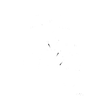 C=CC(=O)[C@@H](O[Si](CC)(CC)CC)[C@@H]1O[C@H]2CC[C@H](CC(=O)OC)O[C@@H]2[C@@H]2OC3(CCCCC3)O[C@@H]21